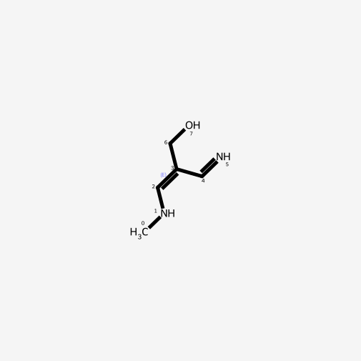 CN/C=C(\C=N)CO